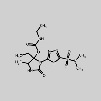 CCNC(=O)OC1(CC)C(C)NC(=O)N1c1nnc(S(=O)(=O)N(C)C)s1